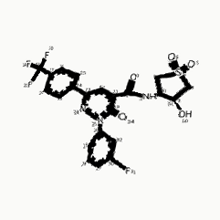 O=C(N[C@H]1CS(=O)(=O)C[C@H]1O)c1cc(-c2ccc(C(F)(F)F)cc2)nn(-c2cccc(F)c2)c1=O